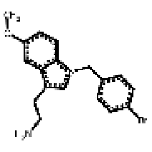 COc1ccc2c(c1)c(CCN)cn2Cc1ccc(Br)cc1